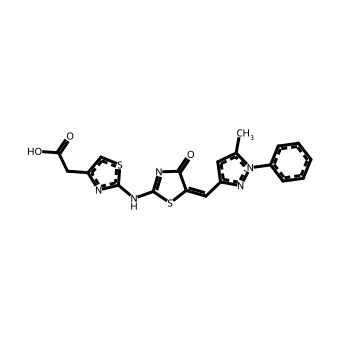 Cc1cc(/C=C2/SC(Nc3nc(CC(=O)O)cs3)=NC2=O)nn1-c1ccccc1